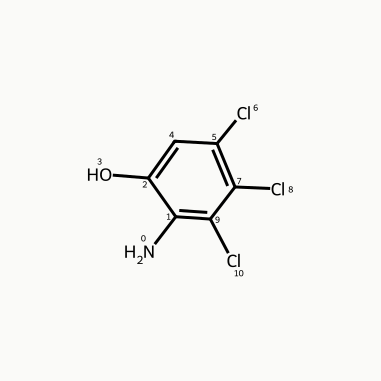 Nc1c(O)cc(Cl)c(Cl)c1Cl